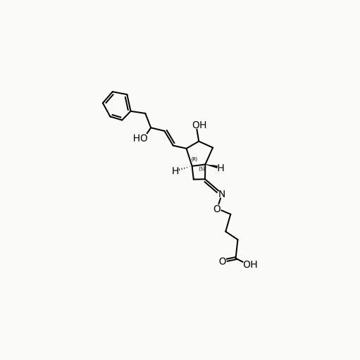 O=C(O)CCCON=C1C[C@H]2C(C=CC(O)Cc3ccccc3)C(O)C[C@H]12